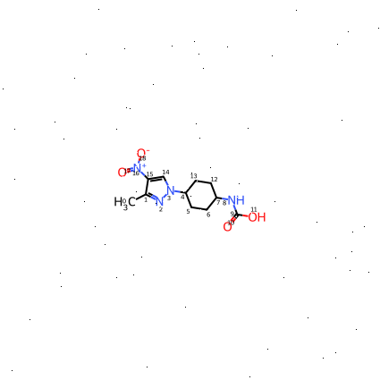 Cc1nn(C2CCC(NC(=O)O)CC2)cc1[N+](=O)[O-]